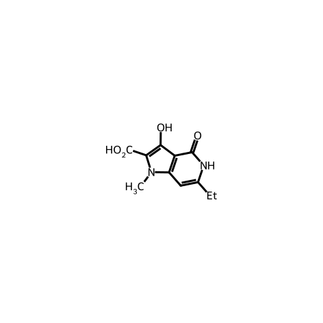 CCc1cc2c(c(O)c(C(=O)O)n2C)c(=O)[nH]1